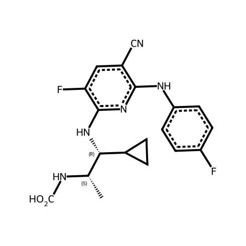 C[C@H](NC(=O)O)[C@H](Nc1nc(Nc2ccc(F)cc2)c(C#N)cc1F)C1CC1